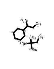 CCCCC(N)(CO)CCCC.NC(CO)C1CCCCC1